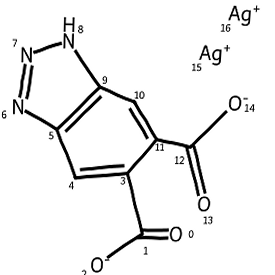 O=C([O-])c1cc2nn[nH]c2cc1C(=O)[O-].[Ag+].[Ag+]